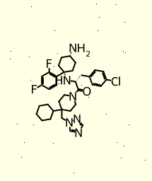 N[C@H]1CC[C@](N[C@H](Cc2ccc(Cl)cc2)C(=O)N2CCC(Cn3cncn3)(C3CCCCC3)CC2)(c2ccc(F)cc2F)CC1